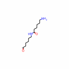 NCCCCCC(=O)NCCCCC[C]=O